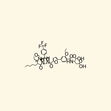 CCCCCC(C(=O)NCNC(=O)c1ccc(-c2ccc(C(=O)NC(CC(=O)O)C(=O)O)c(OCC)c2)o1)[C@@H](CC)N(C=O)OC(=O)c1ccc(C(F)(F)F)cc1